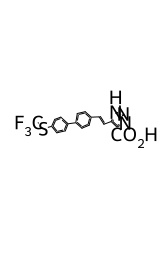 O=C(O)c1nn[nH]c1C=Cc1ccc(-c2ccc(SC(F)(F)F)cc2)cc1